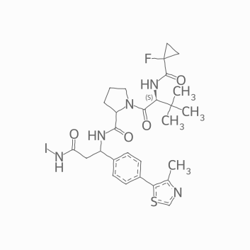 Cc1ncsc1-c1ccc(C(CC(=O)NI)NC(=O)C2CCCN2C(=O)[C@@H](NC(=O)C2(F)CC2)C(C)(C)C)cc1